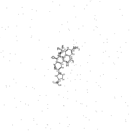 C[C@@H](Nc1n[nH]c(=O)c2cnc(N3CCC(N(C)C)C3)cc12)c1cc(N)cc(C(F)(F)F)c1